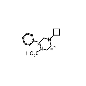 C[C@@H]1CN(C(=O)O)[C@@H](c2ccccc2)CN1C1CCC1